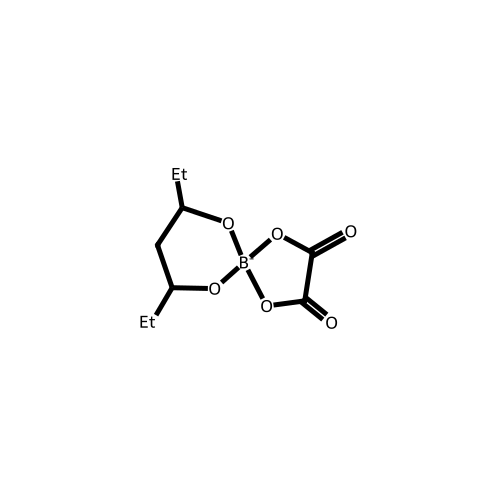 CCC1CC(CC)O[B-]2(OC(=O)C(=O)O2)O1